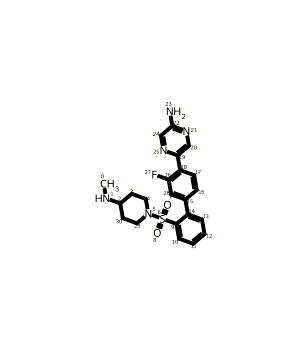 CNC1CCN(S(=O)(=O)c2ccccc2-c2ccc(-c3cnc(N)cn3)c(F)c2)CC1